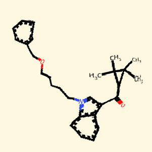 CC1(C)C(C(=O)c2cn(CCCCCOCc3ccccc3)c3ccccc23)C1(C)C